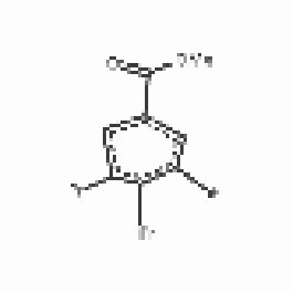 COC(=O)c1cc(C(C)C)c(C(C)C)c(C(C)C)c1